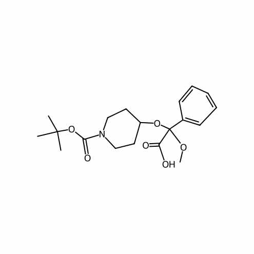 COC(OC1CCN(C(=O)OC(C)(C)C)CC1)(C(=O)O)c1ccccc1